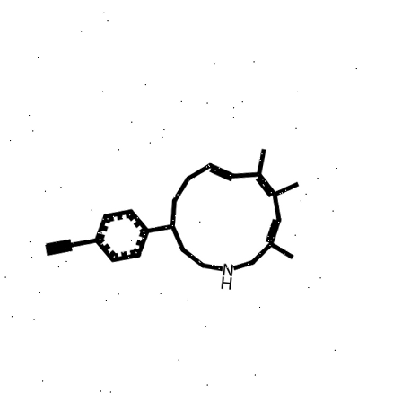 C#Cc1ccc(C2CC/C=C/C(C)=C(C)\C=C(\C)CNCC2)cc1